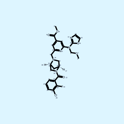 COCN(c1cc(C(=O)OC)cc(CN2C[C@@H]3C[C@H]2CN3C(=O)c2cccc(Cl)c2F)n1)c1nccs1